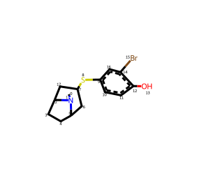 CN1C2CCC1CC(Sc1ccc(O)c(Br)c1)C2